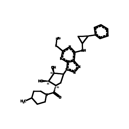 CCCSc1nc(NC2CC2c2ccccc2)c2nnn(C3C[C@H](C(=O)N4CCC(C)CC4)[C@@H](O)[C@H]3O)c2n1